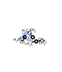 C=C(Nc1cccc(C2CN(C)C(=C)C(Nc3ccc(CC(=C)N(C)C)cc3)=N2)c1C)c1ccc(C(C)(C)C)cc1